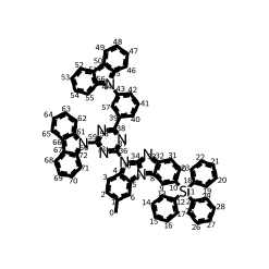 Cc1ccc2c(c1)n1c3cc([Si](c4ccccc4)(c4ccccc4)c4ccccc4)ccc3nc1n2-c1nc(-c2cccc(-n3c4ccccc4c4ccccc43)c2)nc(-n2c3ccccc3c3ccccc32)n1